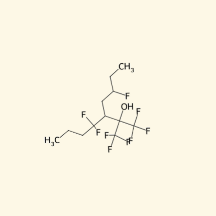 CCCC(F)(F)C(CC(F)CC)C(O)(C(F)(F)F)C(F)(F)F